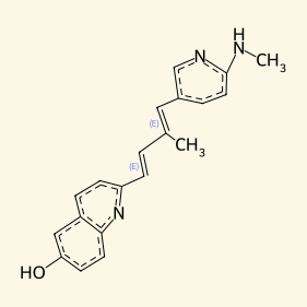 CNc1ccc(/C=C(C)/C=C/c2ccc3cc(O)ccc3n2)cn1